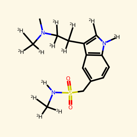 [2H]c1c(C([2H])([2H])C([2H])([2H])N(C)C([2H])([2H])[2H])c2cc(CS(=O)(=O)N([2H])C([2H])([2H])[2H])ccc2n1[2H]